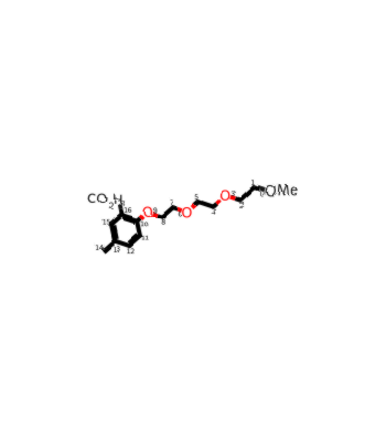 COCCOCCOCCOc1ccc(C)cc1C(=O)O